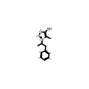 Cc1c([NH-])on[n+]1C(C)Cc1ccccc1